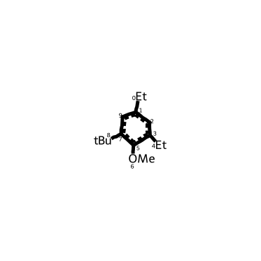 CCc1cc(CC)c(OC)c(C(C)(C)C)c1